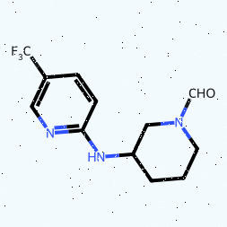 O=CN1CCCC(Nc2ccc(C(F)(F)F)cn2)C1